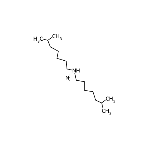 CC(C)CCCCCNCCCCCC(C)C.[N]